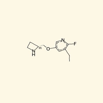 CCc1cc(OC[C@H]2CCN2)cnc1F